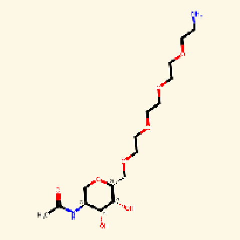 CC(=O)N[C@H]1CO[C@H](COCCOCCOCCOCCN)[C@H](O)[C@@H]1O